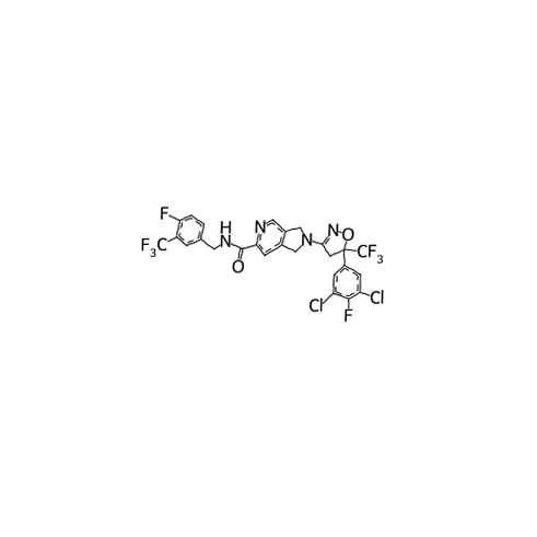 O=C(NCc1ccc(F)c(C(F)(F)F)c1)c1cc2c(cn1)CN(C1=NOC(c3cc(Cl)c(F)c(Cl)c3)(C(F)(F)F)C1)C2